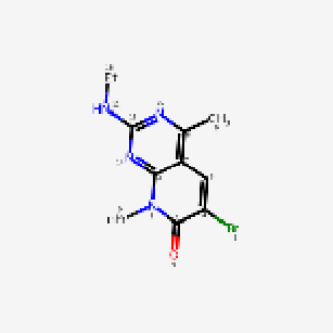 CCCn1c(=O)c(Br)cc2c(C)nc(NCC)nc21